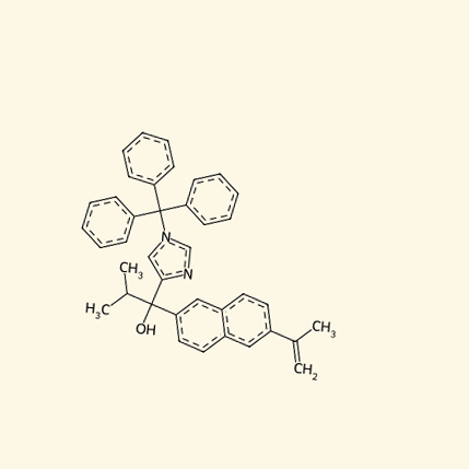 C=C(C)c1ccc2cc(C(O)(c3cn(C(c4ccccc4)(c4ccccc4)c4ccccc4)cn3)C(C)C)ccc2c1